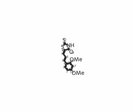 COc1ccc(C=CC=C2SC(=S)NC2=O)c(OC)c1